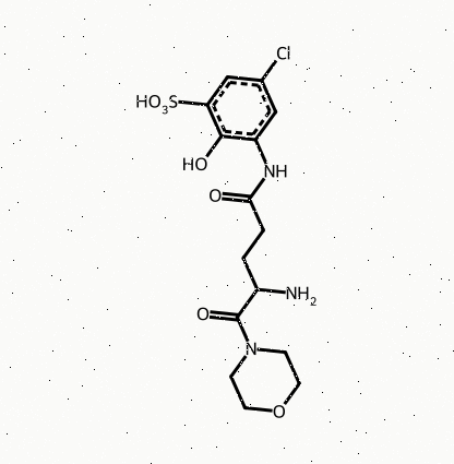 NC(CCC(=O)Nc1cc(Cl)cc(S(=O)(=O)O)c1O)C(=O)N1CCOCC1